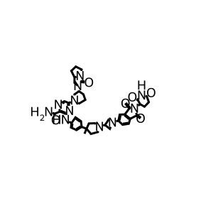 CC1(c2ccc(Nc3nc(N4CCCC(N5CC6CCCN6C5=O)C4)cnc3C(N)=O)cc2)CCN(C2CN(c3ccc4c(c3)C(=O)N(C3CCC(=O)NC3=O)C4=O)C2)CC1